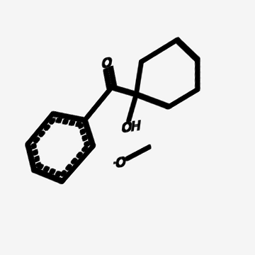 C[O].O=C(c1ccccc1)C1(O)CCCCC1